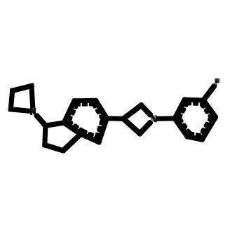 Fc1cccc(N2CC(c3ccc4c(c3)CCC4N3CCC3)C2)c1